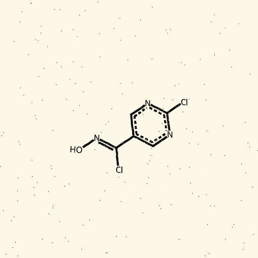 O/N=C(\Cl)c1cnc(Cl)nc1